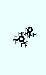 CC(F)(F)c1cc(Nc2n[nH]c3cccnc23)cc(C(F)(F)F)c1